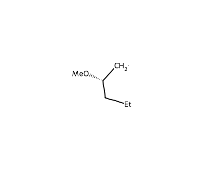 [CH2][C@H](CCC)OC